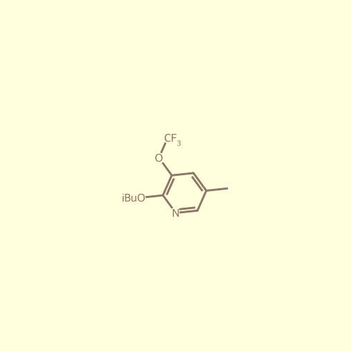 Cc1cnc(OCC(C)C)c(OC(F)(F)F)c1